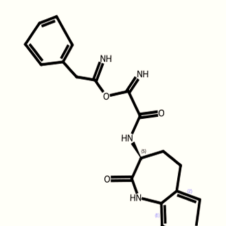 C/C=C1/CC[C@H](NC(=O)C(=N)OC(=N)Cc2ccccc2)C(=O)N/C1=C/C